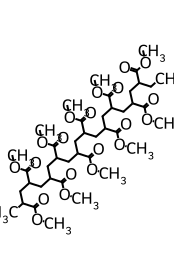 CCC(CC(CC(CC(CC(CC(CC(CC(CC(CC(C)C(=O)OC)C(=O)OC)C(=O)OC)C(=O)OC)C(=O)OC)C(=O)OC)C(=O)OC)C(=O)OC)C(=O)OC)C(=O)OC